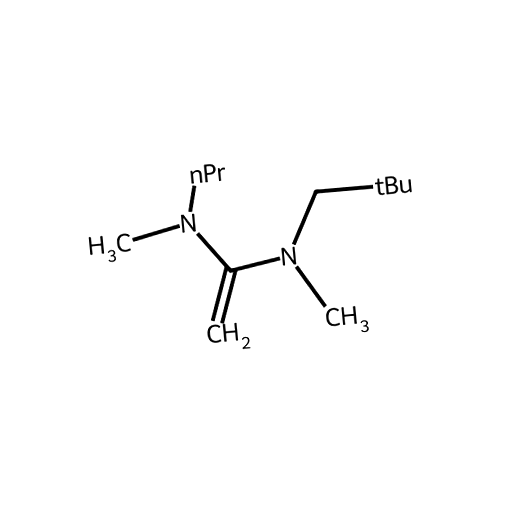 C=C(N(C)CCC)N(C)CC(C)(C)C